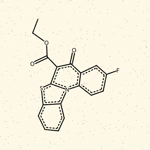 CCOC(=O)c1c(=O)c2cc(F)ccc2n2c1sc1ccccc12